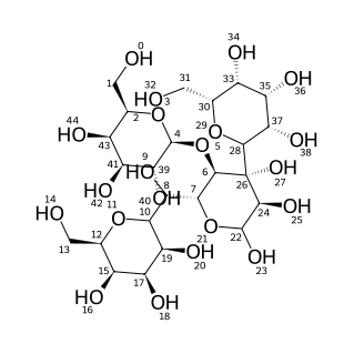 OC[C@H]1O[C@@H](O[C@@H]2[C@@H](C(O)C3O[C@H](CO)[C@H](O)[C@H](O)[C@@H]3O)OC(O)[C@H](O)[C@]2(O)C2O[C@H](CO)[C@H](O)[C@H](O)[C@@H]2O)[C@H](O)[C@@H](O)[C@H]1O